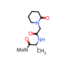 CNC(=O)[C@@H](C)NC(=O)CN1CCCCC1=O